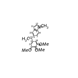 COc1cc(C(C)c2ccc3c(ccn3C)c2)cc(OC)c1OC